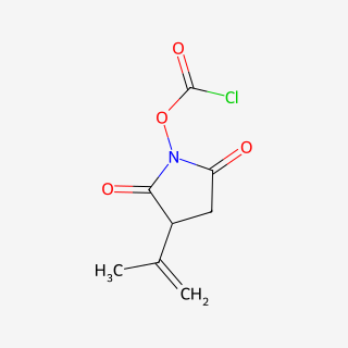 C=C(C)C1CC(=O)N(OC(=O)Cl)C1=O